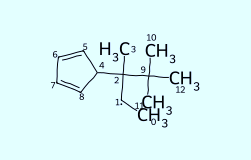 C[CH]C(C)(C1C=CC=C1)C(C)(C)C